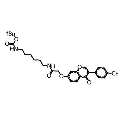 Cc1ccc(-c2coc3cc(OCC(=O)NCCCCCCNC(=O)OC(C)(C)C)ccc3c2=O)cc1